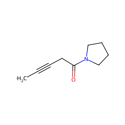 [CH2]C#CCC(=O)N1CCCC1